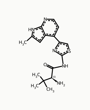 Cc1cc2c(-c3csc(NC(=O)[C@@H](N)C(C)(C)C)n3)ccnc2[nH]1